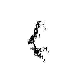 COc1cc(S(N)(=O)=O)ccc1NCC#Cc1cc2c(NC3CCC(N4CCC(OC)CC4)CC3)cccc2n1CC(F)(F)F